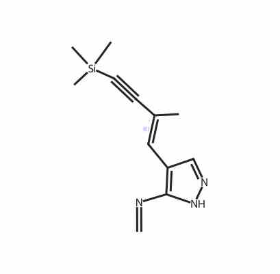 C=Nc1[nH]ncc1/C=C(\C)C#C[Si](C)(C)C